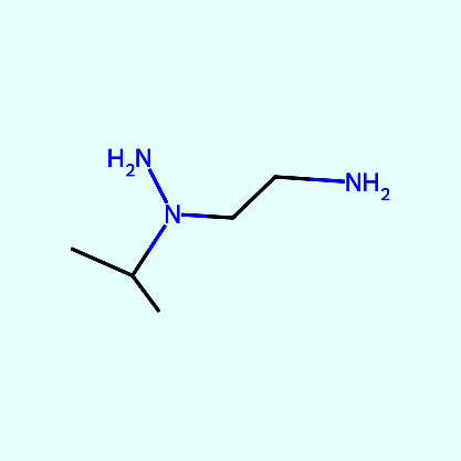 CC(C)N(N)CCN